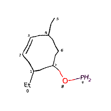 CCC1C=CC(C)CC1OP